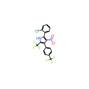 O=[N+]([O-])c1c(-c2ccccc2Cl)[nH]c(C(F)(F)F)c1-c1ccc(C(F)(F)F)cc1